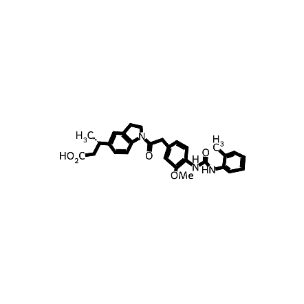 COc1cc(CC(=O)N2CCc3cc([C@@H](C)CC(=O)O)ccc32)ccc1NC(=O)Nc1ccccc1C